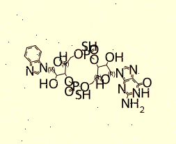 Nc1nc2c(ncn2[C@@H]2O[C@@H]3COP(=O)(S)OC4C(O)[C@H](n5cnc6ccccc65)O[C@@H]4COP(=O)(S)OC3C2O)c(=O)[nH]1